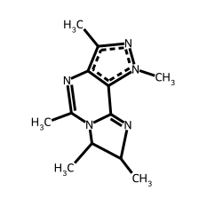 CC1=Nc2c(C)nn(C)c2C2=NC(C)C(C)N12